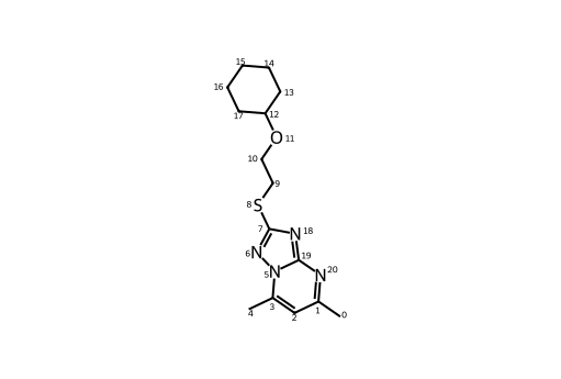 Cc1cc(C)n2nc(SCCOC3CCCCC3)nc2n1